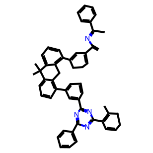 C=C(/N=C(\C)c1ccccc1)C1=CCCC(c2cccc3c2Cc2c(-c4cccc(-c5nc(C6=C(C)CCC=C6)nc(-c6ccccc6)n5)c4)cccc2C3(C)C)=C1